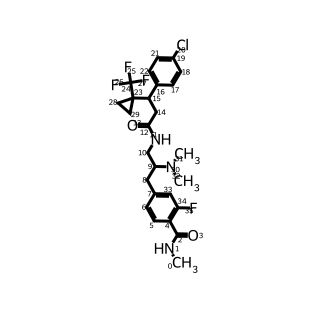 CNC(=O)c1ccc(CC(CNC(=O)CC(c2ccc(Cl)cc2)C2(C(F)(F)F)CC2)N(C)C)cc1F